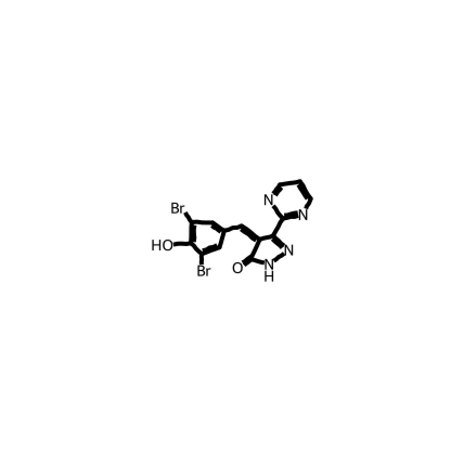 O=C1NN=C(c2ncccn2)C1=Cc1cc(Br)c(O)c(Br)c1